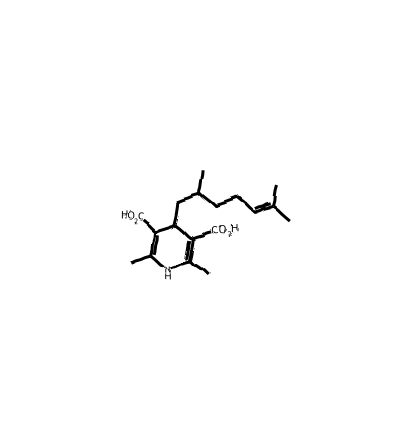 CC(C)=CCCC(C)CC1C(C(=O)O)=C(C)NC(C)=C1C(=O)O